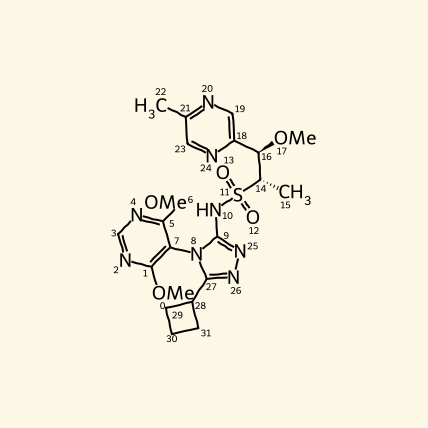 COc1ncnc(OC)c1-n1c(NS(=O)(=O)[C@@H](C)[C@H](OC)c2cnc(C)cn2)nnc1C1CCC1